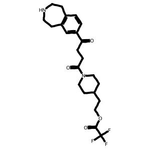 O=C(CCC(=O)N1CCC(CCOC(=O)C(F)(F)F)CC1)c1ccc2c(c1)CCNCC2